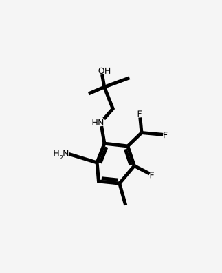 Cc1cc(N)c(NCC(C)(C)O)c(C(F)F)c1F